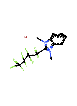 Cn1c(C(F)(F)C(F)(F)C(F)(F)C(F)(F)F)[n+](C)c2ccccc21.[Br-]